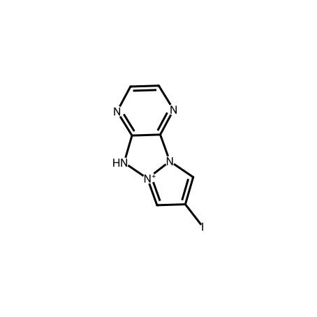 Ic1cn2c3nccnc3[nH][n+]2c1